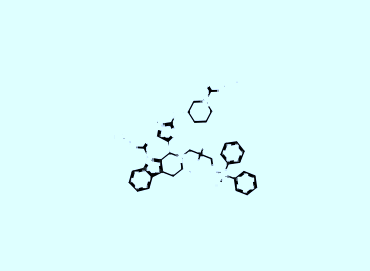 C[C@@H]1Cc2c(n(C(=O)OC(C)(C)C)c3ccccc23)[C@@H](c2cnc(O[C@H]3CCCN(C(=O)OC(C)(C)C)C3)s2)N1CC(F)(F)CO[Si](c1ccccc1)(c1ccccc1)C(C)(C)C